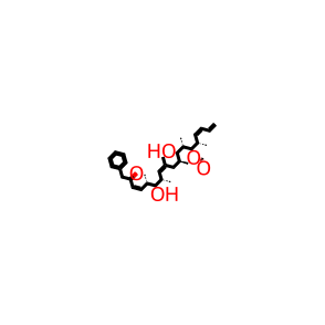 C=C/C=C\[C@H](C)[C@H](OC=O)[C@@H](C)[C@H](O)[C@@H](C)C/C(C)=C\[C@H](C)[C@@H](O)[C@@H](C)/C=C\C(=O)Cc1ccccc1